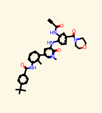 C#CC(=O)Nc1cc(C(=O)N2CCOCC2)ccc1Nc1cc(-c2cccc(NC(=O)c3ccc(C(C)(C)C)cc3)c2C)cn(C)c1=O